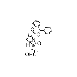 CC(OC=O)[C@@H]1C(=O)N2[C@@H]1SC(C)(C)[C@@H]2C(=O)OC(c1ccccc1)c1ccccc1